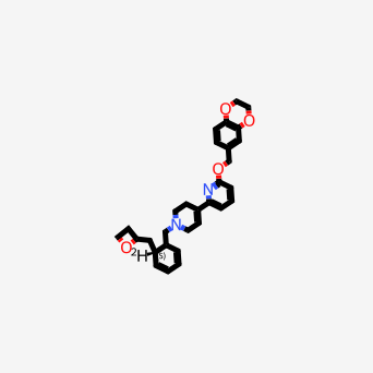 [2H][C@]1(CC2CCO2)C=CC=CC1CN1CC=C(c2cccc(OCc3ccc4c(c3)OCCO4)n2)CC1